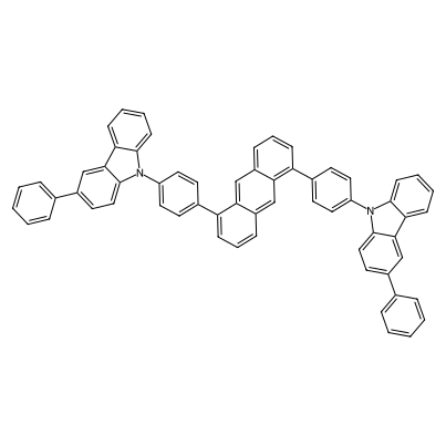 c1ccc(-c2ccc3c(c2)c2ccccc2n3-c2ccc(-c3cccc4cc5c(-c6ccc(-n7c8ccccc8c8cc(-c9ccccc9)ccc87)cc6)cccc5cc34)cc2)cc1